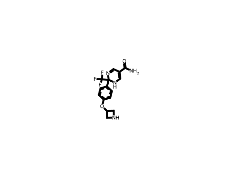 NC(=O)C1=CNC(c2ccc(OC3CNC3)cc2)(C(F)(F)F)N=C1